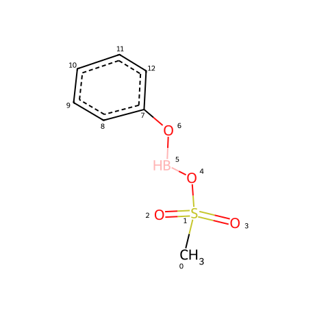 CS(=O)(=O)OBOc1ccccc1